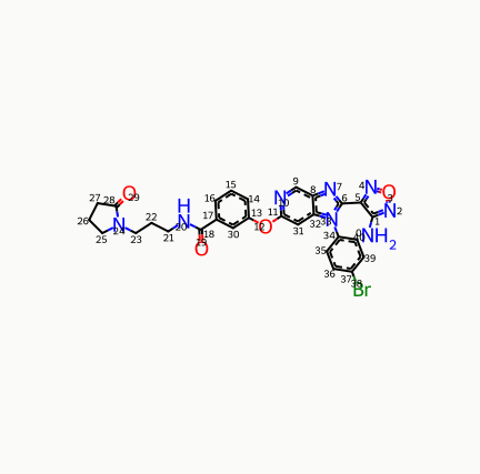 Nc1nonc1-c1nc2cnc(Oc3cccc(C(=O)NCCCN4CCCC4=O)c3)cc2n1-c1ccc(Br)cc1